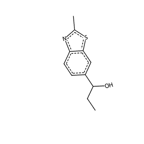 CCC(O)c1ccc2nc(C)sc2c1